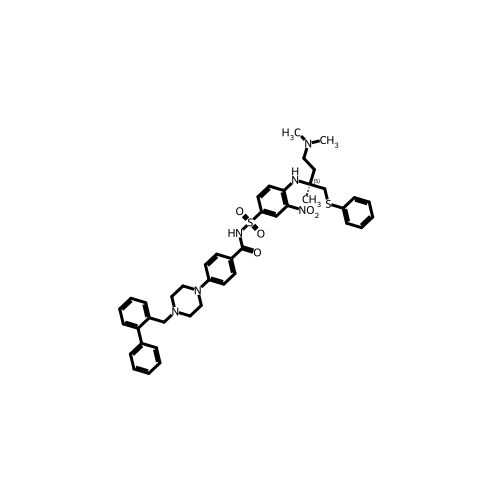 CN(C)CC[C@@](C)(CSc1ccccc1)Nc1ccc(S(=O)(=O)NC(=O)c2ccc(N3CCN(Cc4ccccc4-c4ccccc4)CC3)cc2)cc1[N+](=O)[O-]